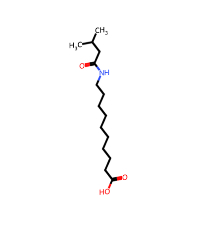 CC(C)CC(=O)NCCCCCCCCCC(=O)O